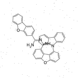 N=C(/N=C(\N)c1ccc2c(c1)oc1ccccc12)c1cccc2oc3cccc(-n4c5ccccc5c5ccccc54)c3c12